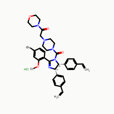 C=Cc1ccc([C@@H]2[C@H](c3ccc(C=C)cc3)N=C(c3ccc(C(C)(C)C)cc3OCC)N2C(=O)N2CCN(CC(=O)N3CCOCC3)CC2)cc1.Cl